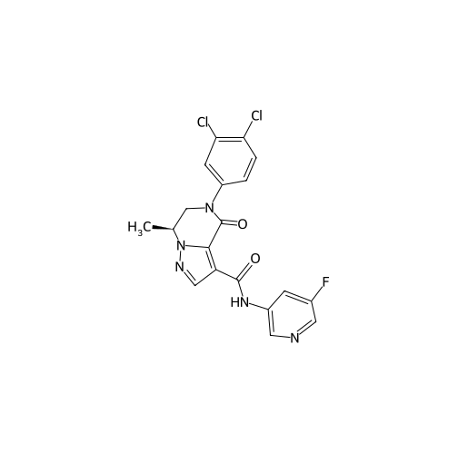 C[C@H]1CN(c2ccc(Cl)c(Cl)c2)C(=O)c2c(C(=O)Nc3cncc(F)c3)cnn21